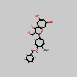 COC1=CC=C(C2OC3=C(CC(O)=CC(O)=C3)C(O)C2CO)CC=C1OCc1ccccc1